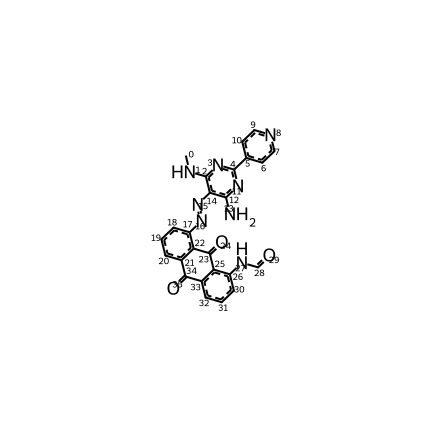 CNc1nc(-c2ccncc2)nc(N)c1/N=N/c1cccc2c1C(=O)c1c(NC=O)cccc1C2=O